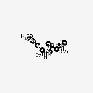 CCOc1cc(N2CCC(N3CCN(S(C)(=O)=O)CC3)CC2)ccc1Nc1nccc(-c2c(-c3ccc(OC)c(C(=O)Nc4c(F)cccc4F)c3)nc3ccccn23)n1